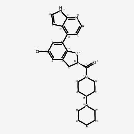 O=C([C@H]1Cc2cc(Cl)cc(-c3ccnc4[nH]ccc34)c2O1)N1CCC(N2CCCCC2)CC1